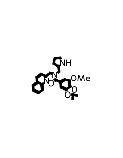 COc1cc(C(=O)N(Cc2ccc3ccccc3n2)CC2CCCN2)cc2c1OC(C)(C)O2